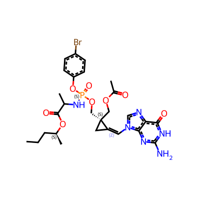 CCC[C@H](C)OC(=O)C(C)N[P@](=O)(OC[C@@]1(COC(C)=O)C/C1=C/n1cnc2c(=O)[nH]c(N)nc21)Oc1ccc(Br)cc1